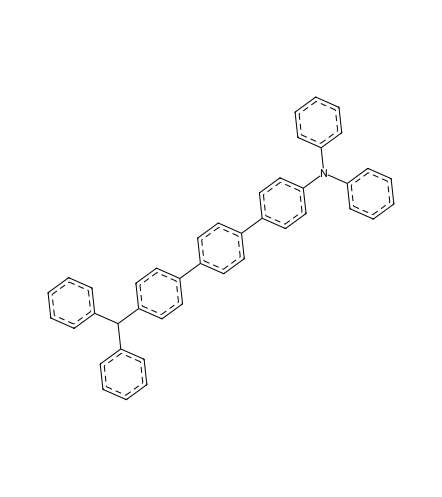 c1ccc(C(c2ccccc2)c2ccc(-c3ccc(-c4ccc(N(c5ccccc5)c5ccccc5)cc4)cc3)cc2)cc1